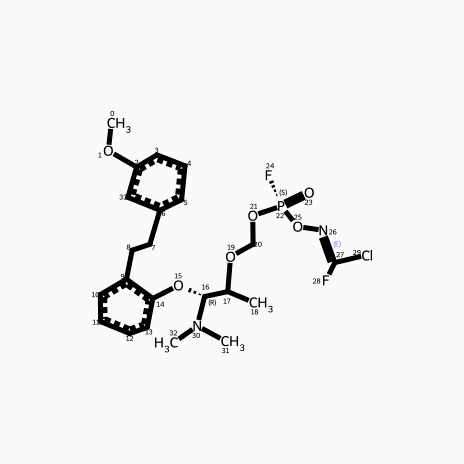 COc1cccc(CCc2ccccc2O[C@H](C(C)OCO[P@](=O)(F)O/N=C(\F)Cl)N(C)C)c1